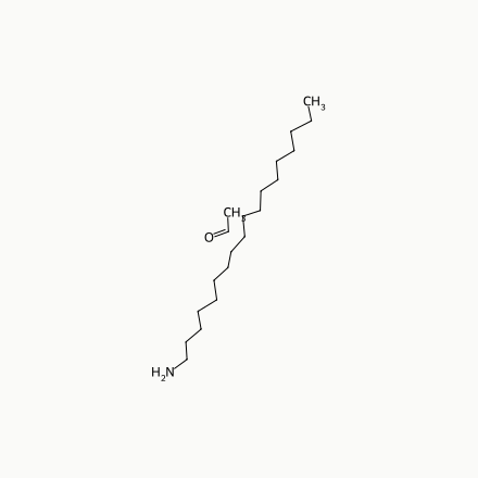 CC=O.CCCCCCCCCCCCCCCCCCN